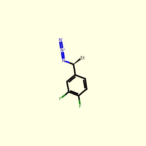 CC[C@H](N=[N+]=[N-])c1ccc(F)c(F)c1